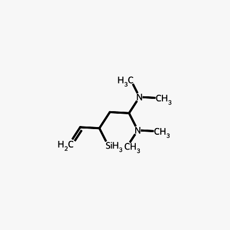 C=CC([SiH3])CC(N(C)C)N(C)C